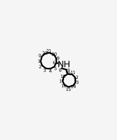 C1CCCCCC(NCCC2CCCCCCCC2)CCCC1